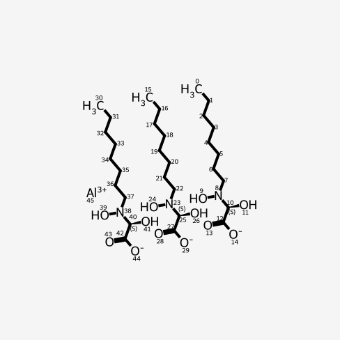 CCCCCCCCN(O)[C@@H](O)C(=O)[O-].CCCCCCCCN(O)[C@@H](O)C(=O)[O-].CCCCCCCCN(O)[C@@H](O)C(=O)[O-].[Al+3]